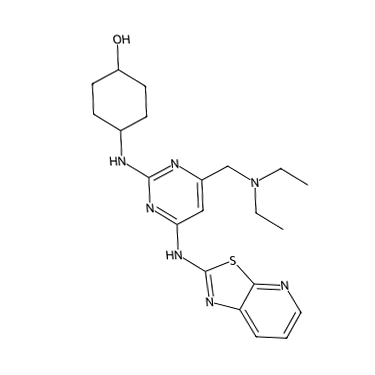 CCN(CC)Cc1cc(Nc2nc3cccnc3s2)nc(NC2CCC(O)CC2)n1